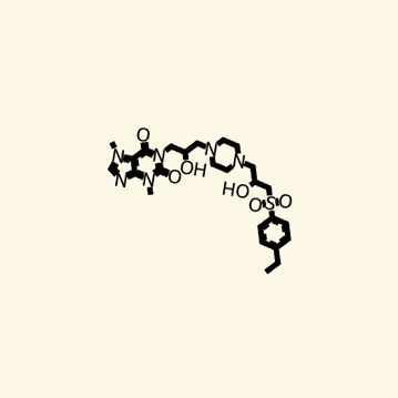 CCc1ccc(S(=O)(=O)CC(O)CN2CCN(CC(O)Cn3c(=O)c4c(ncn4C)n(C)c3=O)CC2)cc1